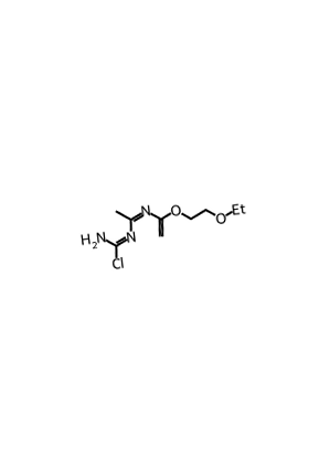 C=C(/N=C(C)\N=C(/N)Cl)OCCOCC